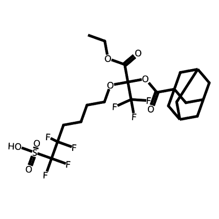 CCOC(=O)C(OCCCCC(F)(F)C(F)(F)S(=O)(=O)O)(OC(=O)C12CC3CC(CC(C3)C1)C2)C(F)(F)F